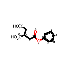 O=C(O)CC(CC(=O)Oc1ccccc1)C(=O)O